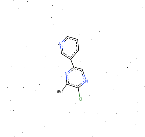 CCC(C)c1nc(-c2cccnc2)cnc1Cl